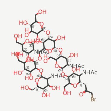 CC(=O)NC1C(O)[C@H](O)[C@H](CO)O[C@H]1OC1[C@@H](OCC2O[C@@H](O[C@@H]3C(CO)O[C@@H](O[C@@H]4C(CO)O[C@@H](CC(=O)CBr)C(NC(C)=O)[C@H]4O)C(NC(C)=O)[C@H]3O)C(O)[C@@H](O[C@H]3OC(CO)[C@@H](O)C(O)C3O[C@@H]3OC(CO)[C@@H](O)[C@H](O)C3NC(C)=O)[C@@H]2O)OC(CO)[C@@H](O)[C@@H]1O